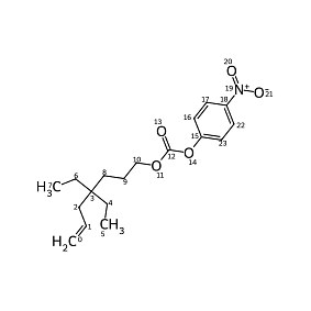 C=CCC(CC)(CC)CCCOC(=O)Oc1ccc([N+](=O)[O-])cc1